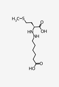 CSCC[C@H](NNCCCCCC(=O)O)C(=O)O